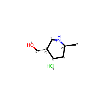 C[C@H]1CC[C@H](CO)CN1.Cl